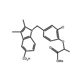 COC(=O)C(C)Oc1ccc(Cn2c(C)c(C)c3cc(C(=O)O)ccc32)cc1Cl